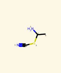 CC(N)SC#N